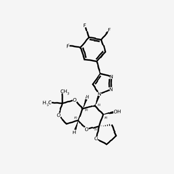 CC1(C)OC[C@H]2O[C@@]3(CCCO3)[C@H](O)[C@H](n3cc(-c4cc(F)c(F)c(F)c4)nn3)[C@H]2O1